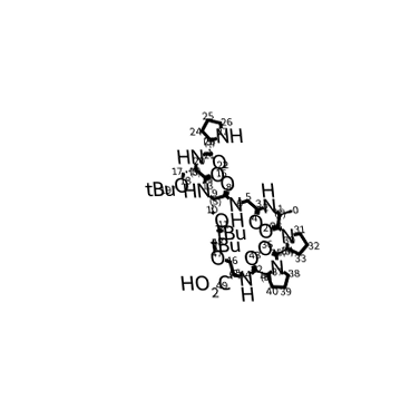 C[C@H](NC(=O)CNC(=O)[C@H](COC(C)(C)C)NC(=O)[C@H](COC(C)(C)C)NC(=O)[C@@H]1CCCN1)C(=O)N1CCC[C@H]1C(=O)N1CCC[C@H]1C(=O)N[C@@H](COC(C)(C)C)C(=O)O